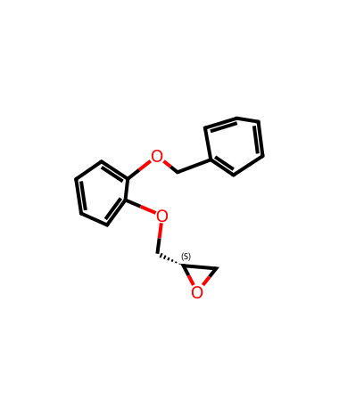 c1ccc(COc2ccccc2OC[C@@H]2CO2)cc1